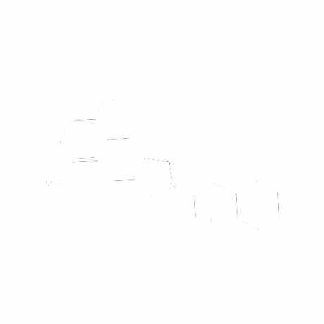 COc1ccc(OC)c2c1CC1=C(O2)C(=O)N(C(CC2CCCCC2)C(=O)O)C1